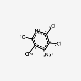 [Na+].[O-]c1nc(Cl)c(Cl)cc1Cl